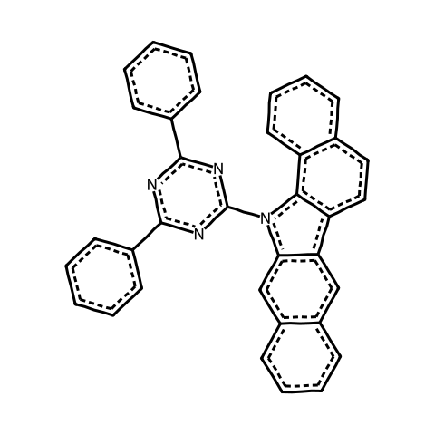 c1ccc(-c2nc(-c3ccccc3)nc(-n3c4cc5ccccc5cc4c4ccc5ccccc5c43)n2)cc1